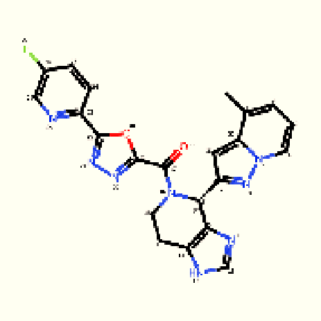 Cc1cccn2nc([C@H]3c4nc[nH]c4CCN3C(=O)c3nnc(-c4ccc(F)cn4)o3)cc12